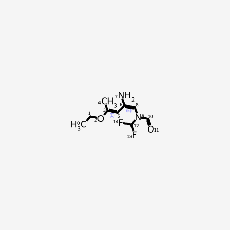 CCO/C(C)=C/C(N)=C\N(C=O)C(F)F